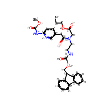 CC(C)(C)OC(=O)Nc1ccc(CC(=O)N(CCNC(=O)OCC2c3ccccc3-c3ccccc32)CC(=O)OCCI)cn1